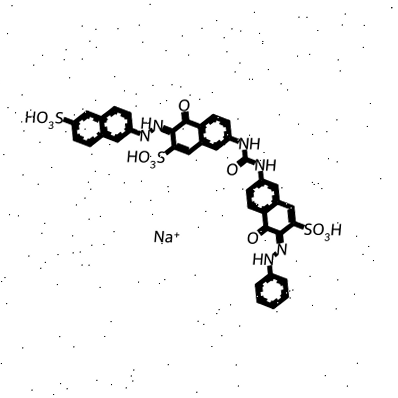 O=C(Nc1ccc2c(c1)C=C(S(=O)(=O)O)/C(=N\Nc1ccc3cc(S(=O)(=O)O)ccc3c1)C2=O)Nc1ccc2c(c1)C=C(S(=O)(=O)O)/C(=N/Nc1ccccc1)C2=O.[Na+]